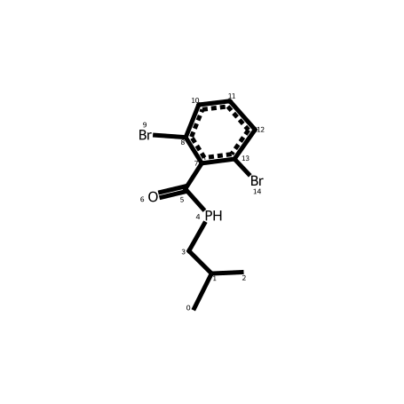 CC(C)CPC(=O)c1c(Br)cccc1Br